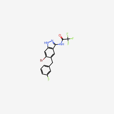 O=C(Nc1n[nH]c2cc(Br)c(Cc3cccc(F)c3)cc12)C(F)(F)F